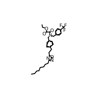 CCCCCCCCc1noc(CCc2ccc(CN(Cc3ccc(C(F)(F)F)cc3)C(=O)C(=O)OCC)cc2)n1